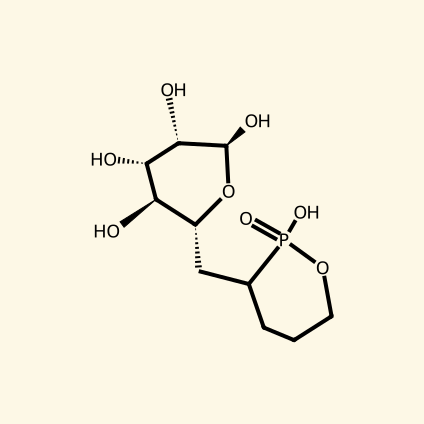 O=P1(O)OCCCC1C[C@H]1O[C@H](O)[C@@H](O)[C@@H](O)[C@@H]1O